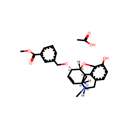 CC(=O)O.COC(=O)c1cccc(CO[C@H]2C=C[C@H]3[C@H]4Cc5ccc(O)c6c5[C@@]3(CCN4C)[C@H]2O6)c1